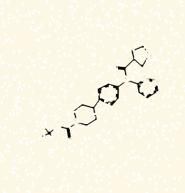 CC(C)(C)OC(=O)N1CCC(c2ccc(N(C(=O)C3CCNC3)c3cccnn3)cc2)CC1